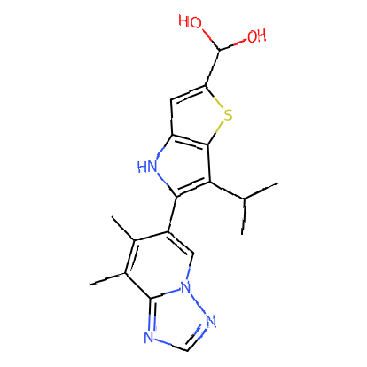 Cc1c(-c2[nH]c3cc(C(O)O)sc3c2C(C)C)cn2ncnc2c1C